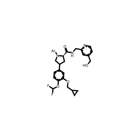 CC(=O)N1CC(c2ccc(OC(F)F)c(OCC3CC3)c2)C[C@@H]1C(=O)NCc1cc(CO)ccn1